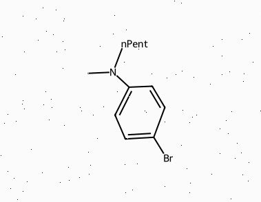 CCCCCN(C)c1ccc(Br)cc1